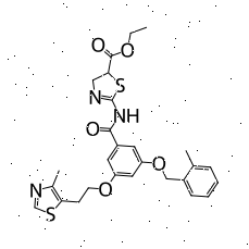 CCOC(=O)C1CN=C(NC(=O)c2cc(OCCc3scnc3C)cc(OCc3ccccc3C)c2)S1